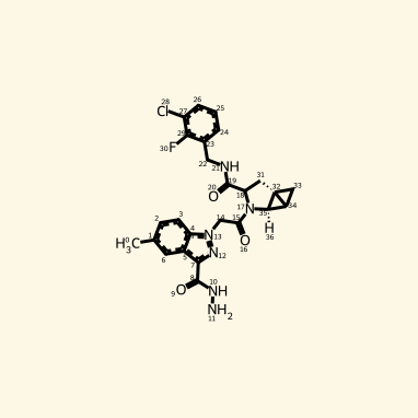 Cc1ccc2c(c1)c(C(=O)NN)nn2CC(=O)N1C(C(=O)NCc2cccc(Cl)c2F)C[C@]23CC2[C@@H]13